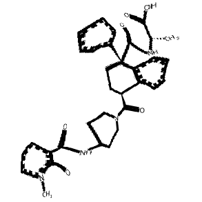 C[C@H](NC(=O)[C@@]1(c2ccccc2)CC[C@H](C(=O)N2CCC(NC(=O)c3cccn(C)c3=O)CC2)c2ccccc21)C(=O)O